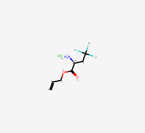 C=CCOC(=O)[C@@H](N)CC(F)(F)F.Cl